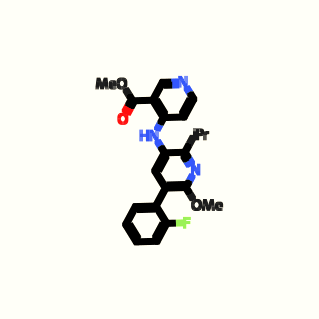 COC(=O)c1cnccc1Nc1cc(-c2ccccc2F)c(OC)nc1C(C)C